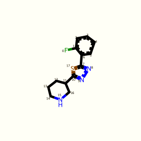 Fc1ccccc1-c1nnc(C2CCCNC2)s1